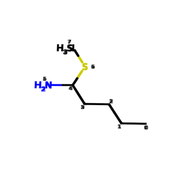 CCCCC(N)S[SiH3]